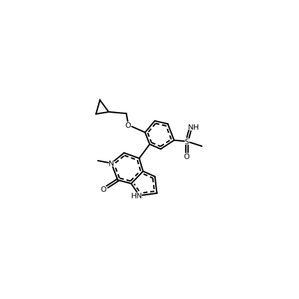 Cn1cc(-c2cc(S(C)(=N)=O)ccc2OCC2CC2)c2cc[nH]c2c1=O